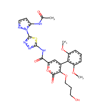 COc1cccc(OC)c1-c1cc(C(=O)Nc2nnc(-n3nccc3NC(C)=O)s2)oc(=O)c1OCCCO